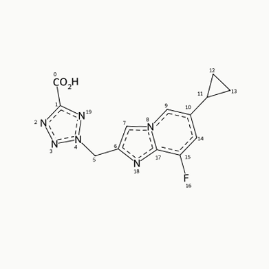 O=C(O)c1nnn(Cc2cn3cc(C4CC4)cc(F)c3n2)n1